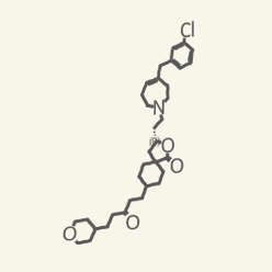 O=C(CCC1CCOCC1)CCC1CCC2(CC1)C[C@H](CCN1CCC=C(Cc3cccc(Cl)c3)CC1)OC2=O